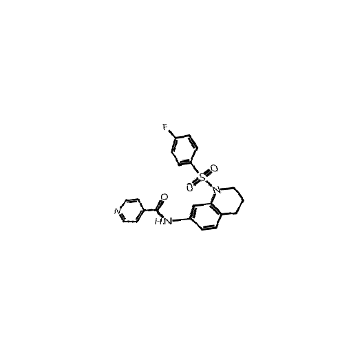 O=C(Nc1ccc2c(c1)N(S(=O)(=O)c1ccc(F)cc1)CCC2)c1ccncc1